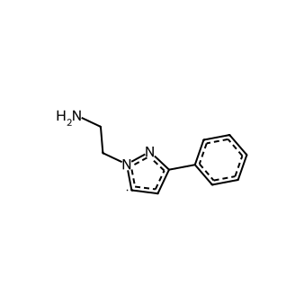 NCCn1[c]cc(-c2ccccc2)n1